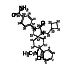 CN(C)[C@]1(c2ccccc2)CC[C@@]2(CC1)CN(c1ccc(C(N)=O)cc1)C(=O)N2CC1CCC1